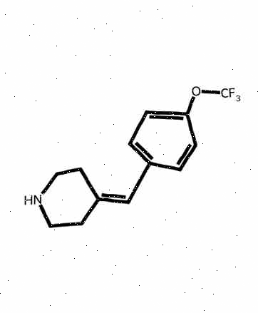 FC(F)(F)Oc1ccc(C=C2CCNCC2)cc1